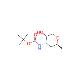 C[C@H]1C[C@H](NC(=O)OC(C)(C)C)[C@@H](O)CO1